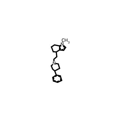 Cn1ccc2c1CCCC2CCN1CCC(c2ccccc2)CC1